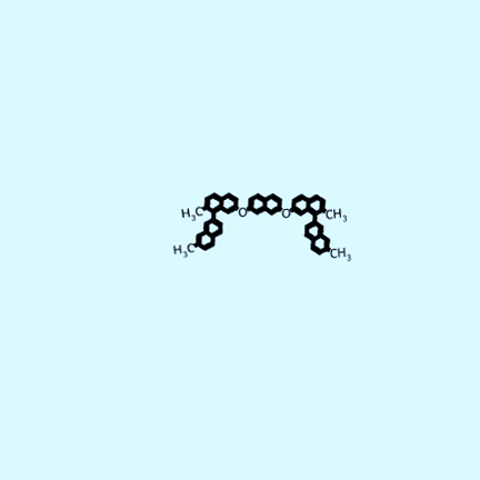 Cc1ccc2ccc(-c3c(C)ccc4ccc(Oc5ccc6ccc(Oc7ccc8ccc(C)c(-c9ccc%10ccc(C)cc%10c9)c8c7)cc6c5)cc34)cc2c1